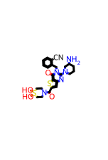 N#Cc1ccccc1Cn1c(N2CCCC(N)C2)nc2cc(C(=O)N3CCS(O)(O)CC3)sc2c1=O